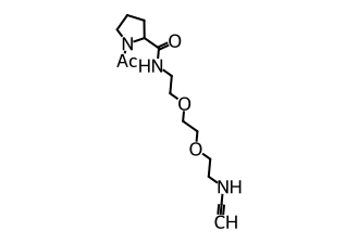 C#CNCCOCCOCCNC(=O)C1CCCN1C(C)=O